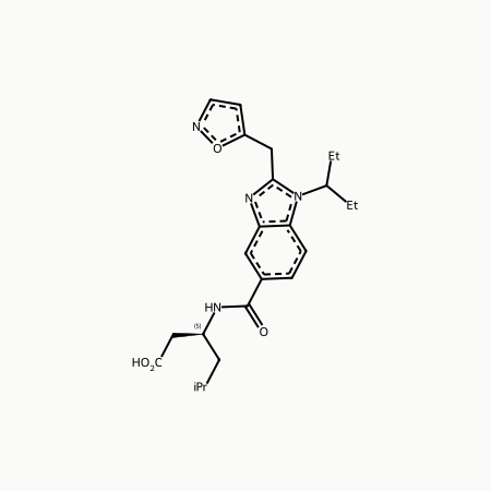 CCC(CC)n1c(Cc2ccno2)nc2cc(C(=O)N[C@H](CC(=O)O)CC(C)C)ccc21